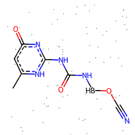 Cc1cc(=O)nc(NC(=O)NBOC#N)[nH]1